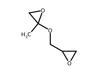 CC1(OCC2CO2)CO1